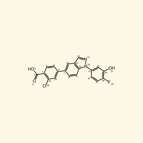 O=C(O)c1ccc(-c2ccc3c(cnn3-c3ccc(F)c(O)c3)c2)cc1Cl